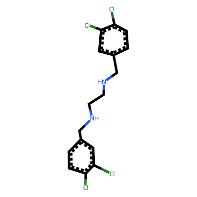 Clc1ccc(CNCCNCc2ccc(Cl)c(Cl)c2)cc1Cl